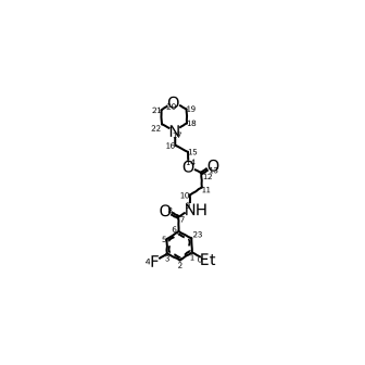 CCc1cc(F)cc(C(=O)NCCC(=O)OCCN2CCOCC2)c1